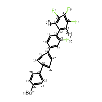 [2H]c1c(F)c(F)c(F)c([2H])c1-c1ccc(-c2ccc(-c3ccc(CCCC)cc3)cc2)cc1F